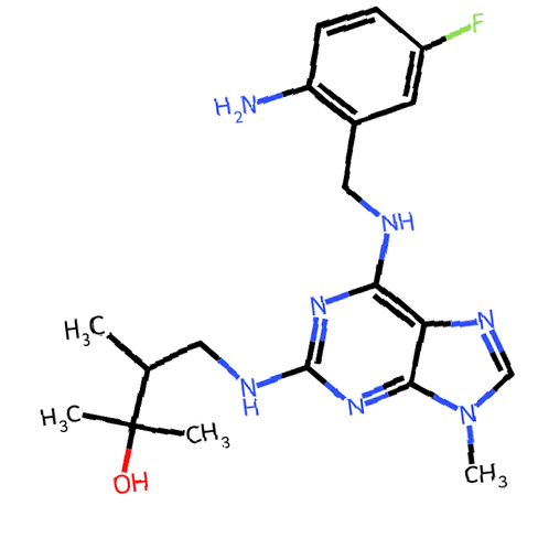 CC(CNc1nc(NCc2cc(F)ccc2N)c2ncn(C)c2n1)C(C)(C)O